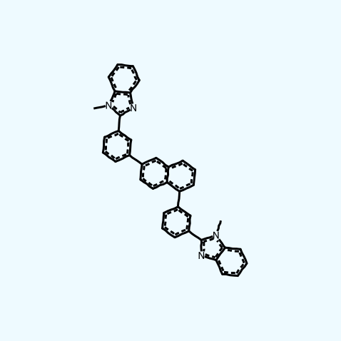 Cn1c(-c2cccc(-c3ccc4c(-c5cccc(-c6nc7ccccc7n6C)c5)cccc4c3)c2)nc2ccccc21